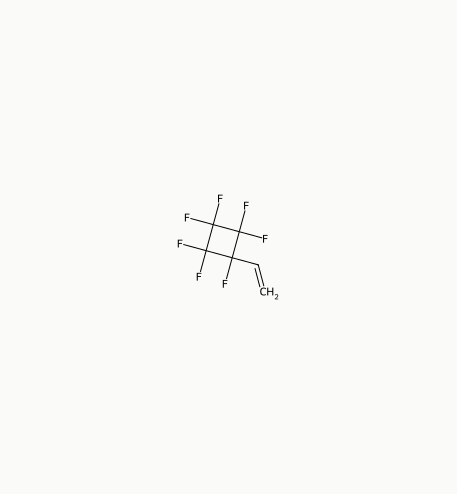 C=CC1(F)C(F)(F)C(F)(F)C1(F)F